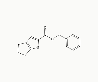 O=C(OCc1ccccc1)c1cc2c(s1)CCC2